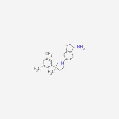 NC1CCc2cc(N3CCC(c4cc(C(F)(F)F)cc(C(F)(F)F)c4)(C(F)(F)F)C3)ccc21